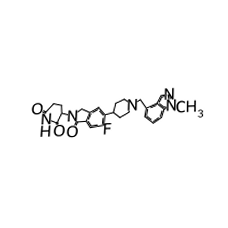 Cn1ncc2c(CN3CCC(c4cc5c(cc4F)C(=O)N(C4CCC(=O)NC4=O)C5)CC3)cccc21